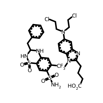 Cn1c(CCCC(=O)O)nc2cc(N(CCCl)CCCl)ccc21.NS(=O)(=O)c1cc2c(cc1C(F)(F)F)NC(Cc1ccccc1)NS2(=O)=O